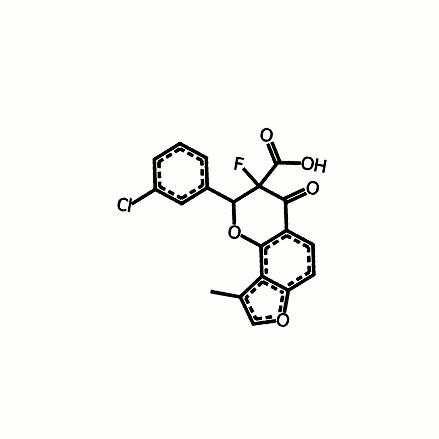 Cc1coc2ccc3c(c12)OC(c1cccc(Cl)c1)C(F)(C(=O)O)C3=O